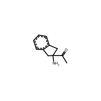 CC(=O)C1(N)Cc2ccccc2C1